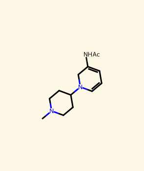 CC(=O)NC1=CC=CN(C2CCN(C)CC2)C1